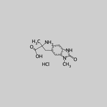 Cl.Cn1c(=O)[nH]c2ccc(CC(C)(N)C(=O)O)cc21